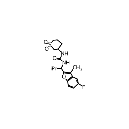 Cc1c(C(NC(=O)N[C@@H]2CCCS(=O)(=O)C2)C(C)C)oc2ccc(F)cc12